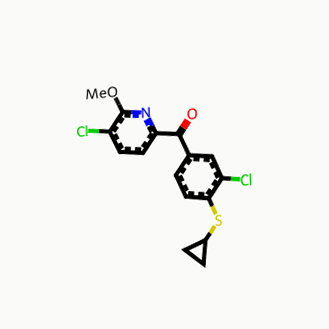 COc1nc(C(=O)c2ccc(SC3CC3)c(Cl)c2)ccc1Cl